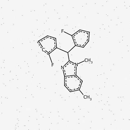 Cc1ccc2nc(C(c3ccccc3F)c3ccccc3F)n(C)c2c1